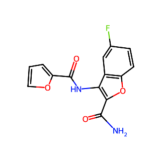 NC(=O)c1oc2ccc(F)cc2c1NC(=O)c1ccco1